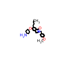 CCCCc1cc2c(=O)n(Cc3ccc(OC)cc3)ccc2cc1O[C@H]1CC[C@@H](N)CC1